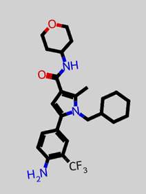 Cc1c(C(=O)NC2CCOCC2)cc(-c2ccc(N)c(C(F)(F)F)c2)n1CC1CCCCC1